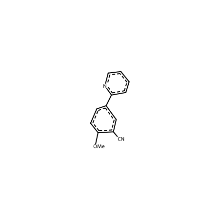 COc1ccc(-c2ccccn2)cc1C#N